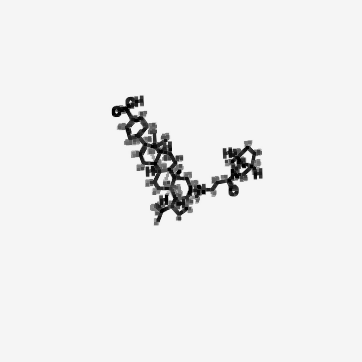 C=C(C)[C@@H]1CC[C@]2(CNCCC(=O)N3C[C@H]4CC[C@@H](C3)N4C)CC[C@]3(C)[C@H](CC[C@@H]4[C@@]5(C)CC=C(c6ccc(C(=O)O)cc6)C(C)(C)[C@@H]5CC[C@]43C)[C@@H]12